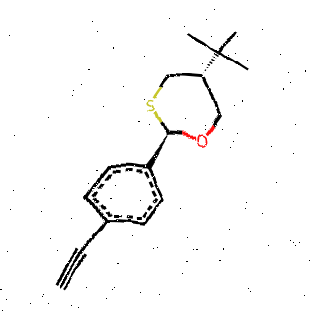 C#Cc1ccc([C@@H]2OC[C@@H](C(C)(C)C)CS2)cc1